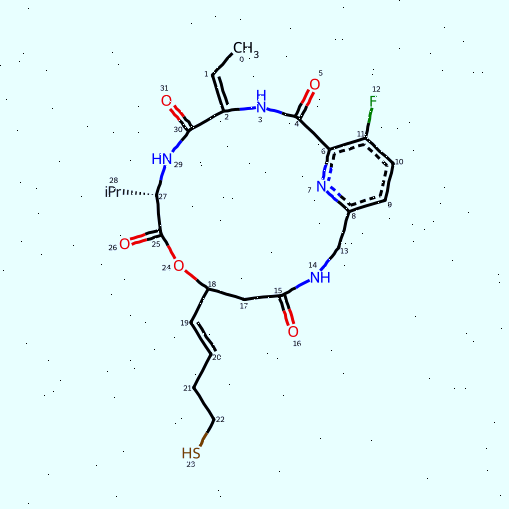 C/C=C1\NC(=O)c2nc(ccc2F)CNC(=O)CC(/C=C/CCS)OC(=O)[C@H](C(C)C)NC1=O